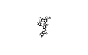 COc1ccc(N2Cc3ccc(CN4Cc5cnc(F)cc5C4=O)cc3C2=O)cc1OC(C)CCc1ccccc1